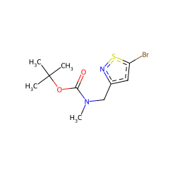 CN(Cc1cc(Br)sn1)C(=O)OC(C)(C)C